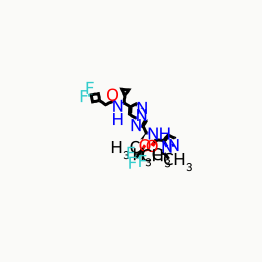 CC(C)n1nccc1C(=O)N[C@@H](COC(C)(C)C(F)(F)F)c1cn2ncc(C(NC(=O)CC3CC(F)(F)C3)C3CC3)cc2n1